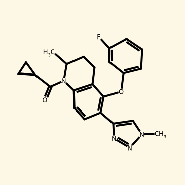 CC1CCc2c(ccc(-c3cn(C)nn3)c2Oc2cccc(F)c2)N1C(=O)C1CC1